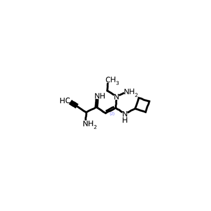 C#CC(N)C(=N)/C=C(/NC1CCC1)N(N)CC